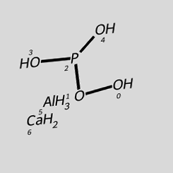 OOP(O)O.[AlH3].[CaH2]